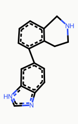 c1cc2c(c(-c3ccc4nc[nH]c4c3)c1)CCNC2